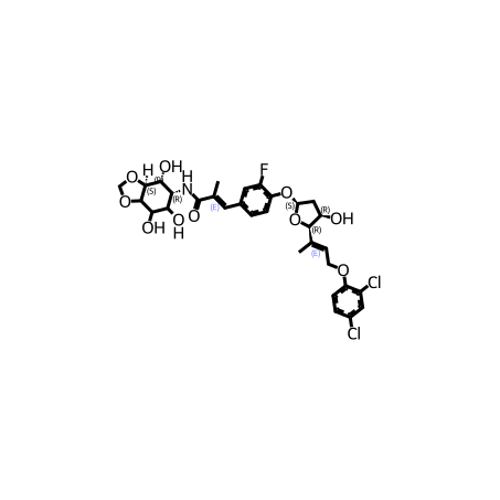 C/C(=C\c1ccc(O[C@H]2C[C@@H](O)[C@@H](/C(C)=C/COc3ccc(Cl)cc3Cl)O2)c(F)c1)C(=O)N[C@@H]1C(O)C(O)C2OCO[C@H]2[C@@H]1O